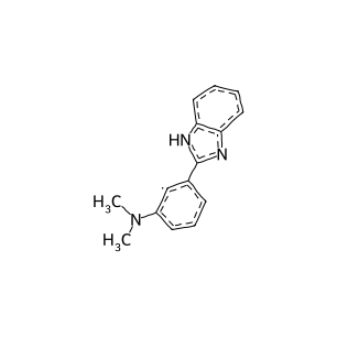 CN(C)c1[c]c(-c2nc3ccccc3[nH]2)ccc1